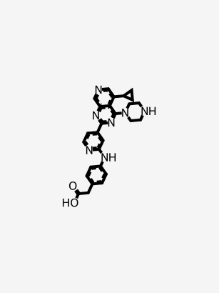 O=C(O)Cc1ccc(Nc2cc(-c3nc(N4CCNCC4)c4c(C5CC5)cncc4n3)ccn2)cc1